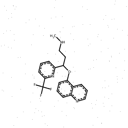 CNCCC(Oc1cccc2ncccc12)c1cccc(C(F)(F)F)n1